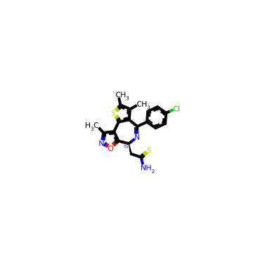 Cc1noc2c1-c1sc(C)c(C)c1C(c1ccc(Cl)cc1)=N[C@H]2CC(N)=S